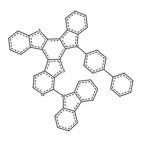 c1ccc(-c2ccc(-n3c4ccccc4c4c5sc6ccccc6c5c5c6ccnc(-n7c8ccccc8c8ccccc87)c6sc5c43)cc2)cc1